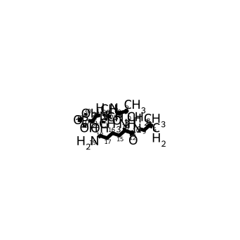 C=C(C)C(N)=O.C=C(C)CNC(=O)C(N)CCCCN.C[N+](C)(C)CC(O)P(=O)(O)O